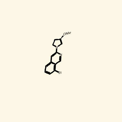 CCc1cccc2cc(N3CC[C@@H](OC)C3)ncc12